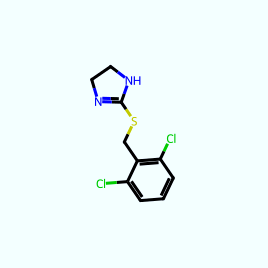 Clc1cccc(Cl)c1CSC1=NCCN1